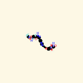 O=C1CCC(N2Cc3cc(OCCCCN4CCN(c5ccc(-c6cnc7[nH]cc(C(=O)c8c(F)ccc(NS(=O)(=O)N9CCC(F)(F)C9)c8F)c7c6)cc5)CC4)ccc3C2=O)C(=O)N1